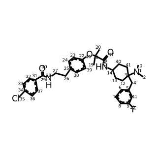 CN(C)C1(Cc2cccc(F)c2)CCC(NC(=O)C(C)(C)Oc2ccc(CCNC(=O)c3ccc(Cl)cc3)cc2)CC1